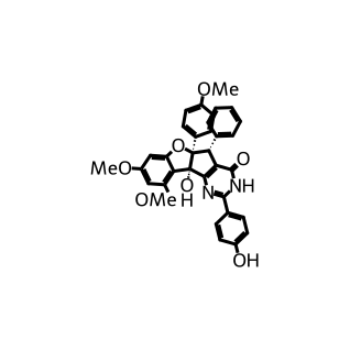 COc1ccc([C@@]23Oc4cc(OC)cc(OC)c4[C@]2(O)c2nc(-c4ccc(O)cc4)[nH]c(=O)c2[C@H]3c2ccccc2)cc1